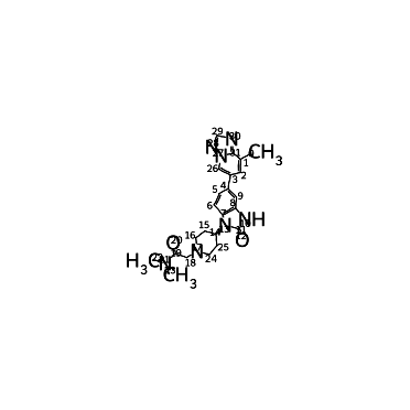 Cc1cc(-c2ccc3c(c2)[nH]c(=O)n3C2CCN(CC(=O)N(C)C)CC2)cn2ncnc12